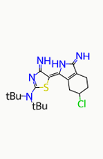 CC(C)(C)N(C1=NC(=N)/C(=C2\NC(=N)C3=C2CC(Cl)CC3)S1)C(C)(C)C